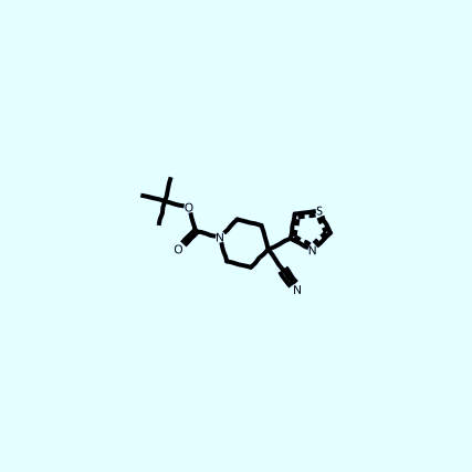 CC(C)(C)OC(=O)N1CCC(C#N)(c2cscn2)CC1